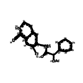 CC(=O)OC(C(=O)Nc1cc2cc[nH]c(=O)c2cc1Cl)c1ccccc1